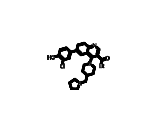 CCC(=O)c1cnc2ccc(-c3ccc(O)c(Cl)c3)cc2c1N1CCC(CN2CCCC2)CC1